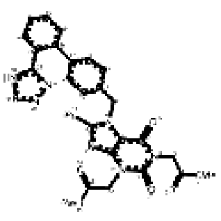 COC(=O)Cn1c(=O)c2c(nc(C(C)C)n2Cc2ccc(-c3ccccc3-c3nnn[nH]3)cc2)n(CC(=O)OC)c1=O